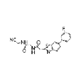 N#CCNC(=O)CNC(=O)Cc1nc2ccc(-c3cccc(F)c3)cc2s1